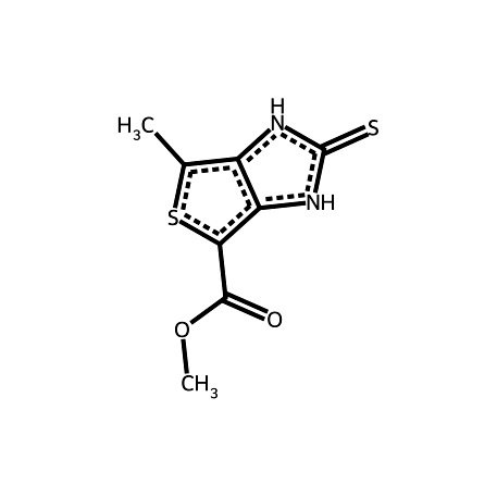 COC(=O)c1sc(C)c2[nH]c(=S)[nH]c12